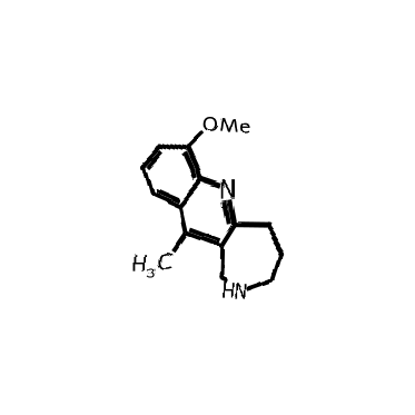 COc1cccc2c(C)c3c(nc12)CCCNC3